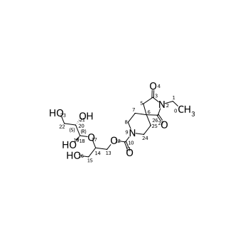 CCN1C(=O)CC2(CCN(C(=O)OCC(CO)O[C@@H](O)[C@@H](O)CO)CC2)C1=O